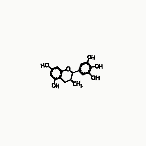 CC1Cc2c(O)cc(O)cc2OC1c1cc(O)c(O)c(O)c1